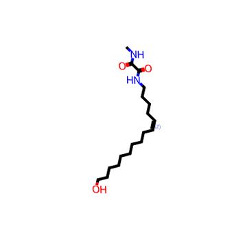 CNC(=O)C(=O)NCCCC/C=C\CCCCCCCCCO